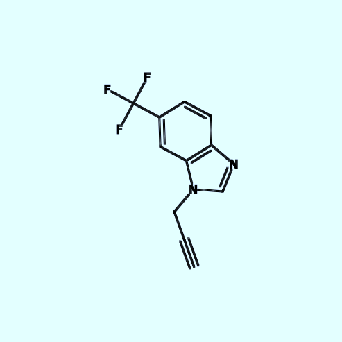 C#CCn1cnc2ccc(C(F)(F)F)cc21